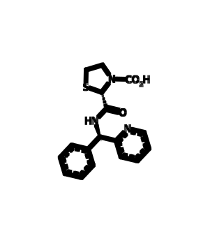 O=C(N[C@H](c1ccccc1)c1ccccn1)[C@@H]1SCCN1C(=O)O